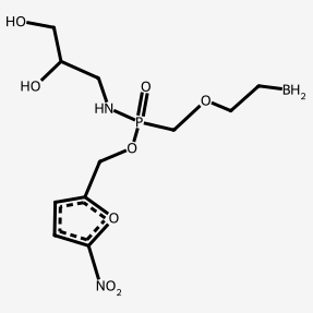 BCCOCP(=O)(NCC(O)CO)OCc1ccc([N+](=O)[O-])o1